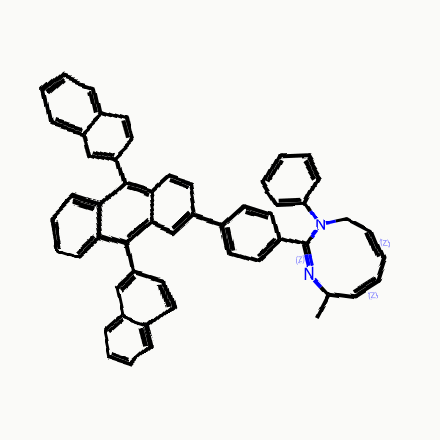 CC1/C=C\C=C/CN(c2ccccc2)/C(c2ccc(-c3ccc4c(-c5ccc6ccccc6c5)c5ccccc5c(-c5ccc6ccccc6c5)c4c3)cc2)=N\1